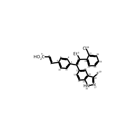 CCC(=C(c1ccc(C=CC(=O)O)cc1)c1ccc2[nH]nc(F)c2c1)c1ccccc1Cl